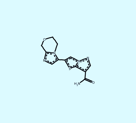 NC(=O)c1cnn2cc(-c3cnc4n3CCOC4)sc12